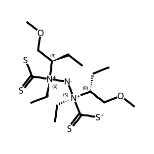 CC[C@H](COC)[N@+](CC)([N][N@+](CC)(C(=S)[S-])[C@H](CC)COC)C(=S)[S-]